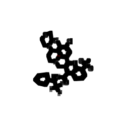 CS(=O)(=O)c1cccc2c(C(=O)N[C@H](c3ccccc3)C(F)(F)F)c(CN3CCC(N4CCOCC4)CC3)c(-c3ccc(Cl)c(Cl)c3)nc12